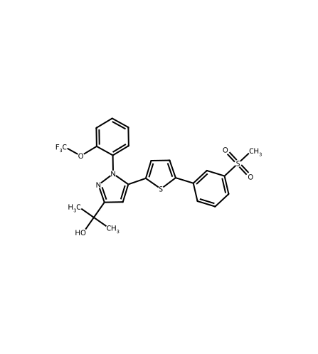 CC(C)(O)c1cc(-c2ccc(-c3cccc(S(C)(=O)=O)c3)s2)n(-c2ccccc2OC(F)(F)F)n1